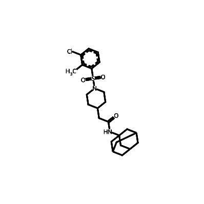 Cc1c(Cl)cccc1S(=O)(=O)N1CCC(CC(=O)NC23CC4CC(CC(C4)C2)C3)CC1